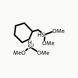 CO[SiH2]OC.CO[SiH](CC1CCCCC1)OC